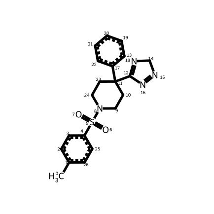 Cc1ccc(S(=O)(=O)N2CCC(C3=NCN=N3)(c3ccccc3)CC2)cc1